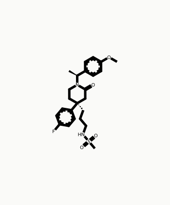 COc1ccc([C@H](C)N2CC[C@](CCCNS(C)(=O)=O)(c3ccc(F)cc3)CC2=O)cc1